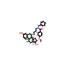 CCOc1ccc(C(=O)N(CCCC[C@@H]2Cc3cc(O)ccc3[C@@H]3[C@@H]2[C@@H]2CC[C@H](O)[C@@]2(C)C[C@@H]3F)Cc2ccccc2)cc1